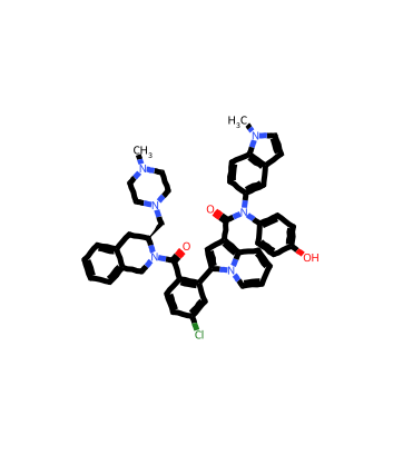 CN1CCN(C[C@@H]2Cc3ccccc3CN2C(=O)c2ccc(Cl)cc2-c2cc(C(=O)N(c3ccc(O)cc3)c3ccc4c(ccn4C)c3)c3ccccn23)CC1